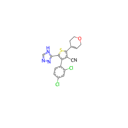 N#Cc1c(C2=CCOCC2)sc(-c2nnc[nH]2)c1-c1ccc(Cl)cc1Cl